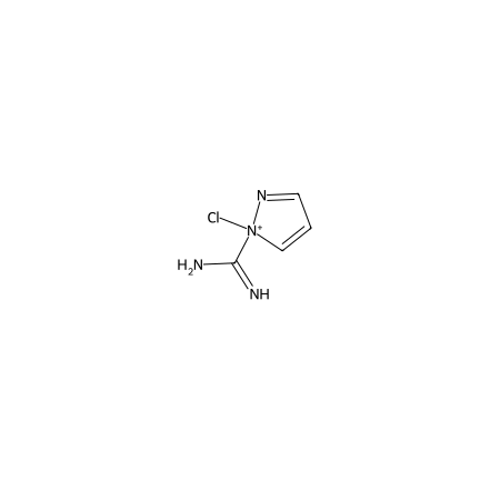 N=C(N)[N+]1(Cl)C=CC=N1